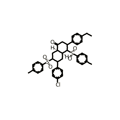 CCc1ccc(C2CC(=O)[C@@H]3CC(S(=O)(=O)c4ccc(C)cc4)C(c4ccc(Cl)cc4)C[C@@H]3C2S(=O)(=O)c2ccc(C)cc2)cc1